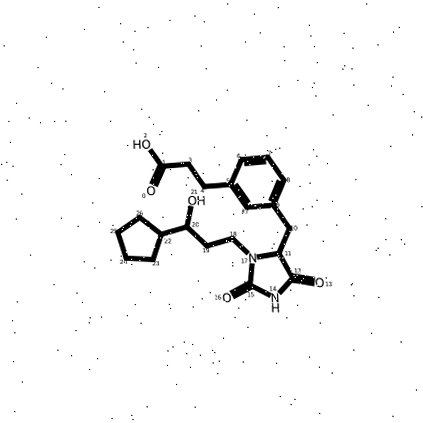 O=C(O)CCc1cccc(CC2C(=O)NC(=O)N2CCC(O)C2CCCC2)c1